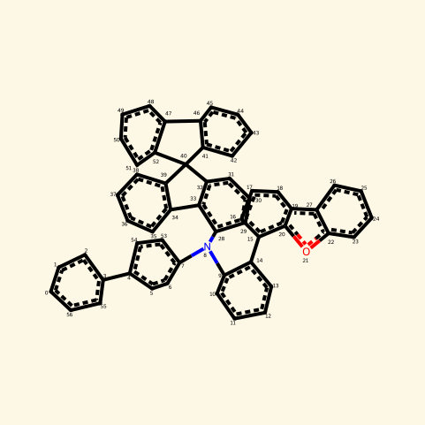 c1ccc(-c2ccc(N(c3ccccc3-c3cccc4c3oc3ccccc34)c3cccc4c3-c3ccccc3C43c4ccccc4-c4ccccc43)cc2)cc1